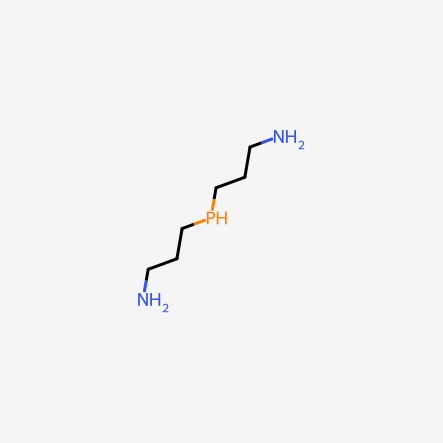 NCCCPCCCN